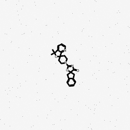 CC1(C)OC2(CCN(C3=NC(=O)C4(Cc5ccccc5C4)O3)CC2)c2ncccc21